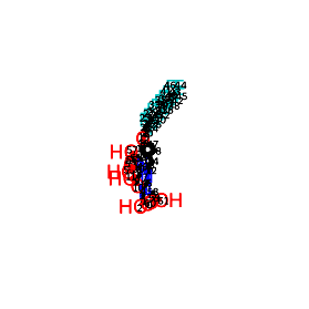 O=C(O)CN(CCN(CC(=O)O)CC(Cc1ccc(OCCC(F)(F)C(F)(F)C(F)(F)C(F)(F)C(F)(F)C(F)(F)C(F)(F)C(F)(F)F)cc1)N(CC(=O)O)CC(=O)O)CC(=O)O